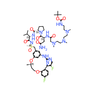 CC(C)[C@H](NC(=O)[C@@H]1CCCN1C(=O)[C@H](CC(N)=O)NC(=O)CN(C)CCN(C)CCN(C)CCNC(=O)OC(C)(C)C)C(=O)N=[S@](C)(=O)Cc1cc2cc(c1)O[C@H](C)CCOc1cc(F)ccc1-c1nc(ncc1F)N2